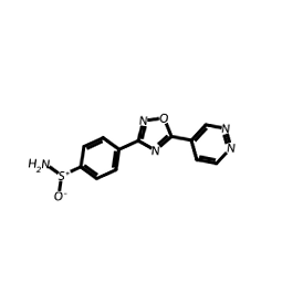 N[S+]([O-])c1ccc(-c2noc(-c3ccnnc3)n2)cc1